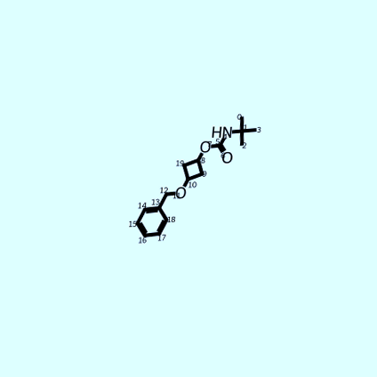 CC(C)(C)NC(=O)OC1CC(OCc2ccccc2)C1